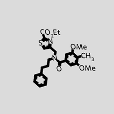 CCOC(=O)c1nc(CN(CCCc2ccccc2)C(=O)c2cc(OC)c(C)c(OC)c2)cs1